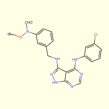 CC(C)(C)ON(C=O)c1cccc(CNc2n[nH]c3ncnc(Nc4cccc(Cl)c4)c23)c1